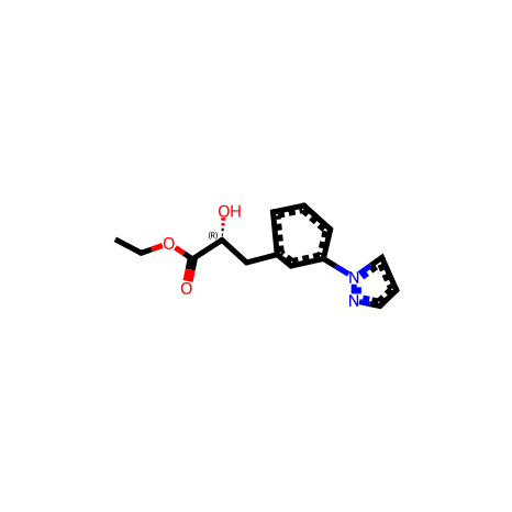 CCOC(=O)[C@H](O)Cc1cccc(-n2cccn2)c1